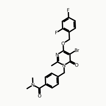 Cc1nc(OCc2ccc(F)cc2F)c(Br)c(=O)n1Cc1ccc(C(=O)N(C)C)cc1